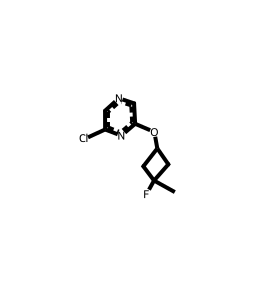 CC1(F)CC(Oc2cncc(Cl)n2)C1